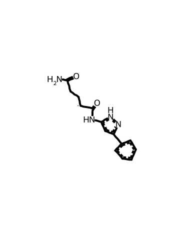 NC(=O)CC[CH]C(=O)Nc1cc(-c2ccccc2)n[nH]1